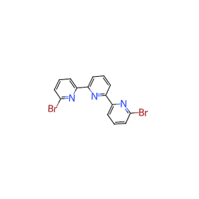 Brc1cccc(-c2cccc(-c3cccc(Br)n3)n2)n1